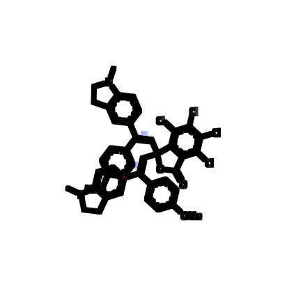 COc1ccc(/C(=C\C2(/C=C(\c3ccc(OC)cc3)c3ccc4c(c3)CCN4C)OC(=O)c3c(Cl)c(Cl)c(Cl)c(Cl)c32)c2ccc3c(c2)CCN3C)cc1